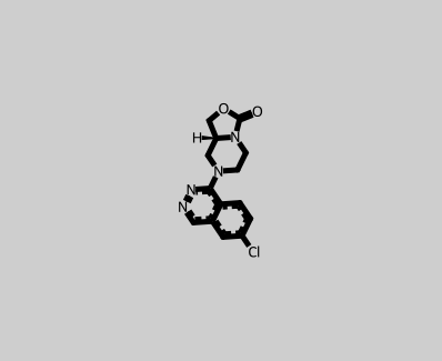 O=C1OC[C@H]2CN(c3nncc4cc(Cl)ccc34)CCN12